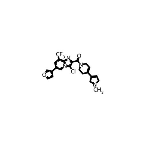 CN1CC=C(C2=CCN(C(=O)c3nc4c(C(F)(F)F)cc(-c5ccoc5)cn4c3Cl)CC2)C1